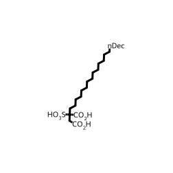 CCCCCCCCCCCCCCCCCCCCCCCCC(CC(=O)O)(C(=O)O)S(=O)(=O)O